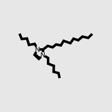 CCCCCCCCCCCC1N(CCCCC)C=CN1CCCCCC